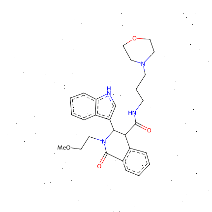 COCCN1C(=O)c2ccccc2C(C(=O)NCCCN2CCOCC2)C1c1c[nH]c2ccccc12